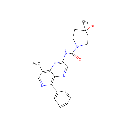 COc1cnc(-c2ccccc2)c2ncc(NC(=O)N3CCC(C)(O)CC3)nc12